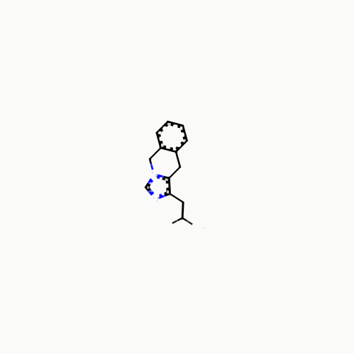 CCCCC(Cc1ncn2c1Cc1ccccc1C2)C(=O)O